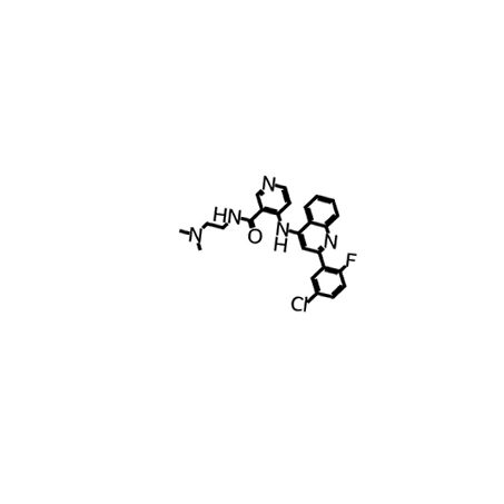 CN(C)CCNC(=O)c1cnccc1Nc1cc(-c2cc(Cl)ccc2F)nc2ccccc12